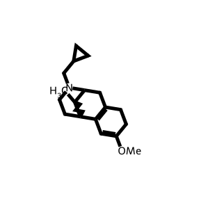 COC1=CC2=C(CC1)CC1N(CC3CC3)CCC23CCCC13C